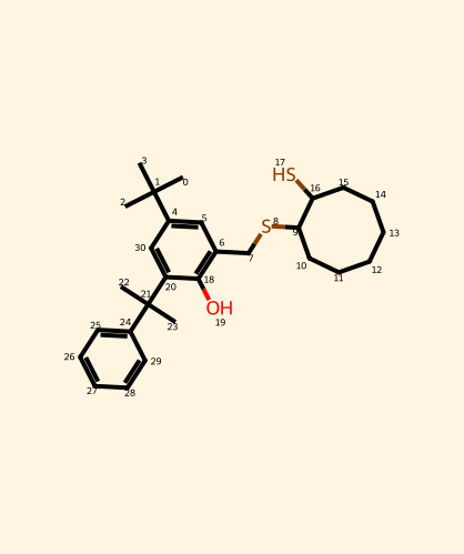 CC(C)(C)c1cc(CSC2CCCCCCC2S)c(O)c(C(C)(C)c2ccccc2)c1